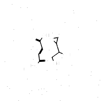 CCC(O)C1CO1.O=C(O)/C=C/C(=O)O